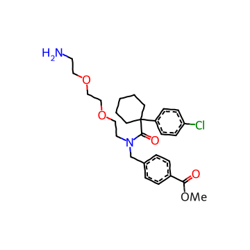 COC(=O)c1ccc(CN(CCOCCOCCN)C(=O)C2(c3ccc(Cl)cc3)CCCCC2)cc1